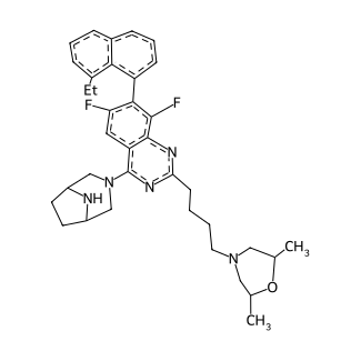 CCc1cccc2cccc(-c3c(F)cc4c(N5CC6CCC(C5)N6)nc(CCCCN5CC(C)OC(C)C5)nc4c3F)c12